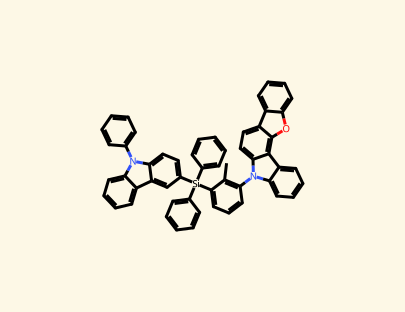 Cc1c(-n2c3ccccc3c3c4oc5ccccc5c4ccc32)cccc1[Si](c1ccccc1)(c1ccccc1)c1ccc2c(c1)c1ccccc1n2-c1ccccc1